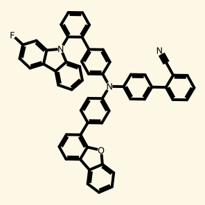 N#Cc1ccccc1-c1ccc(N(c2ccc(-c3ccccc3-n3c4ccccc4c4ccc(F)cc43)cc2)c2ccc(-c3cccc4c3oc3ccccc34)cc2)cc1